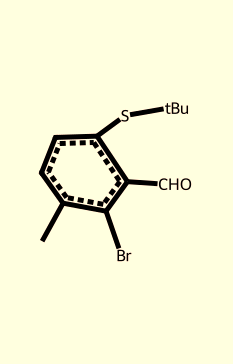 Cc1ccc(SC(C)(C)C)c(C=O)c1Br